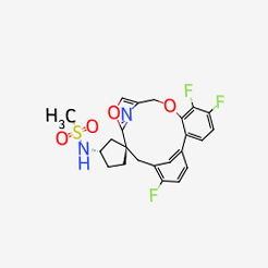 CS(=O)(=O)N[C@H]1CC[C@@]2(Cc3cc(ccc3F)-c3ccc(F)c(F)c3OCc3coc2n3)C1